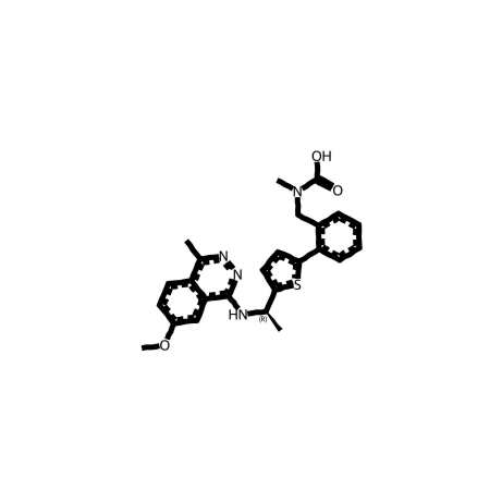 COc1ccc2c(C)nnc(N[C@H](C)c3ccc(-c4ccccc4CN(C)C(=O)O)s3)c2c1